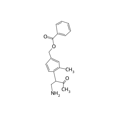 CC(=O)C(CN)c1ccc(COC(=O)c2ccccc2)cc1C